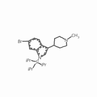 CC(C)[Si](C(C)C)(C(C)C)n1cc(C2CCN(C)CC2)c2ccc(Br)cc21